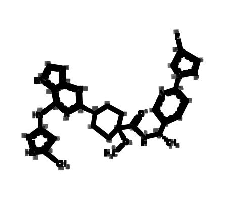 CO[C@]1(C(=O)N[C@@H](C)c2ccc(-n3cc(F)cn3)nc2)CC[C@H](c2nc(Nc3cc(C)[nH]n3)c3[nH]ccc3n2)CC1